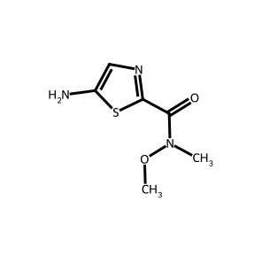 CON(C)C(=O)c1ncc(N)s1